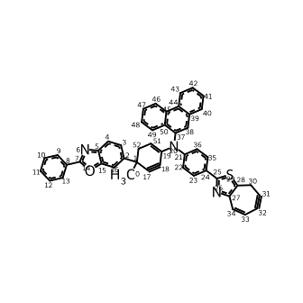 CC1(c2ccc3nc(-c4ccccc4)oc3c2)C#CC(N(c2ccc(-c3nc4c(s3)CC#CC=C4)cc2)c2cc3ccccc3c3ccccc23)=CC1